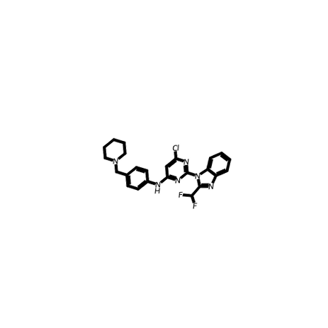 FC(F)c1nc2ccccc2n1-c1nc(Cl)cc(Nc2ccc(CN3CCCCC3)cc2)n1